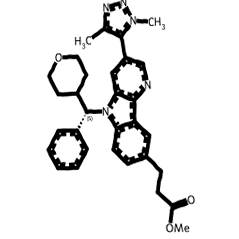 COC(=O)CCc1ccc2c(c1)c1ncc(-c3c(C)nnn3C)cc1n2[C@H](c1ccccc1)C1CCOCC1